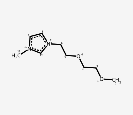 COCCOCC[n+]1ccn(C)c1